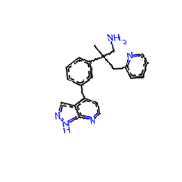 CC(CN)(Cc1ccccn1)c1cccc(-c2ccnc3[nH]ncc23)c1